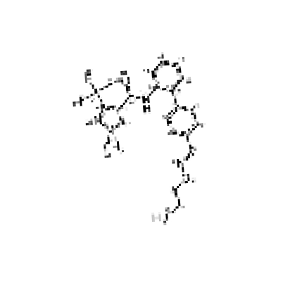 CCCO/N=C/c1ccc(-c2ccccc2NC(=O)c2cn(C)nc2C(F)(F)F)cc1